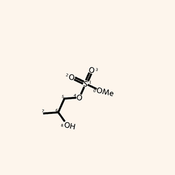 COS(=O)(=O)OCC(C)O